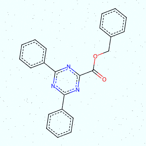 O=C(OCc1ccccc1)c1nc(-c2ccccc2)nc(-c2ccccc2)n1